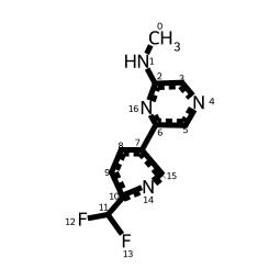 CNc1cncc(-c2ccc(C(F)F)nc2)n1